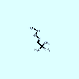 CNNN=CC(C)(C)C